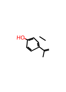 C=C(C)c1ccc(O)cc1.CC